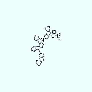 CC1(C)c2ccccc2-c2cc(-n3c4ccccc4c4c5c6ccccc6n(-c6ccc7c(c6)-c6ccccc6C7)c5ccc43)ccc21